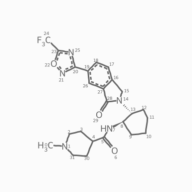 CN1CCC(C(=O)N[C@@H]2CCCC[C@H]2N2Cc3ccc(-c4noc(C(F)(F)F)n4)cc3C2=O)CC1